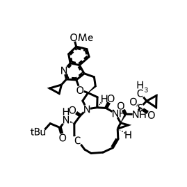 COc1ccc2c3c(c(C4CC4)nc2c1)O[C@]1(CC3)C[C@H]2C(=O)N[C@]3(C(=O)NS(=O)(=O)C4(C)CC4)C[C@H]3C=CCCCCC[C@H](NC(=O)CC(C)(C)C)C(=O)N2C1